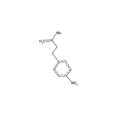 C=C(CCc1ccc([N+](=O)[O-])cc1)C(C)(C)C